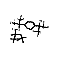 CC(C)(C)CC(C)(C(=O)OC(C1CCC(C(O)(C(F)(F)F)C(F)(F)F)CC1)(C(F)(F)F)C(F)(F)F)C(C)(C)C